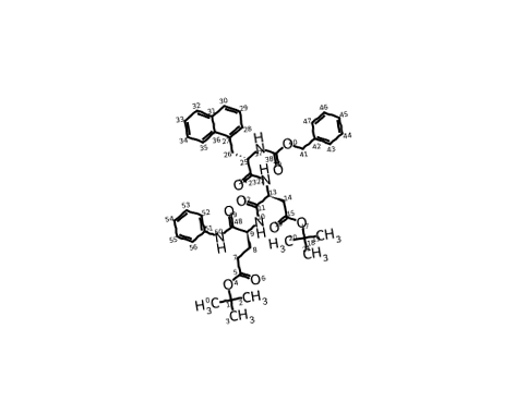 CC(C)(C)OC(=O)CC[C@H](NC(=O)[C@H](CC(=O)OC(C)(C)C)NC(=O)[C@H](Cc1cccc2ccccc12)NC(=O)OCc1ccccc1)C(=O)Nc1ccccc1